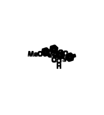 COc1cccc(Cn2c(=O)c3c(O)c(Sc4ccc(C)cc4)c(=O)oc3c3ccccc32)c1